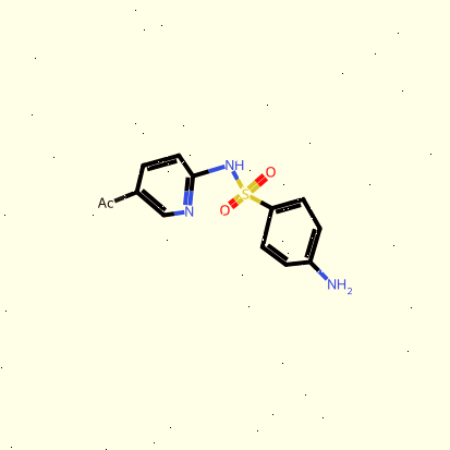 CC(=O)c1ccc(NS(=O)(=O)c2ccc(N)cc2)nc1